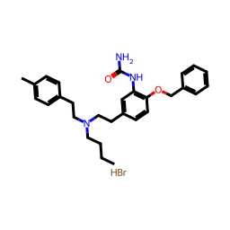 Br.CCCCN(CCc1ccc(C)cc1)CCc1ccc(OCc2ccccc2)c(NC(N)=O)c1